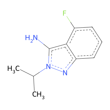 CC(C)n1nc2cccc(F)c2c1N